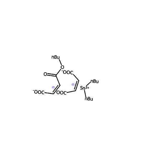 CCCCOC(=O)/C=C\C(=O)[O-].CCC[CH2][Sn+3][CH2]CCC.O=C([O-])/C=C\C(=O)[O-]